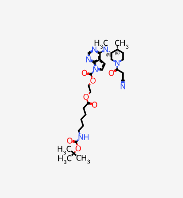 C[C@@H]1CCN(C(=O)CC#N)C[C@@H]1N(C)c1ncnc2c1ccn2C(=O)OCCOC(=O)CCCCCNC(=O)OC(C)(C)C